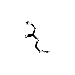 CCCCCCSC(=O)NC(C)(C)C